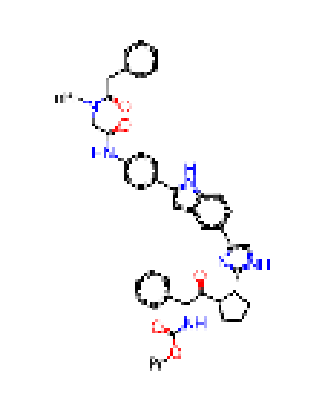 CCCN(CC(=O)Nc1ccc(-c2cc3cc(-c4c[nH]c([C@@H]5CCCC5C(=O)[C@H](NC(=O)OC(C)C)c5ccccc5)n4)ccc3[nH]2)cc1)C(=O)Cc1ccccc1